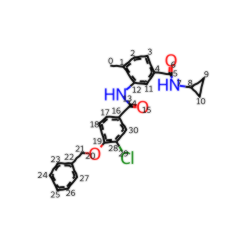 Cc1ccc(C(=O)NC2CC2)cc1NC(=O)c1ccc(OCc2ccccc2)c(Cl)c1